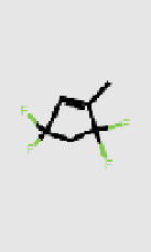 CC1=CC(F)(F)CC1(F)F